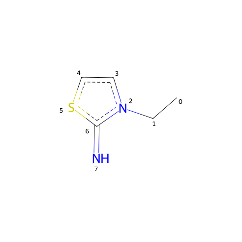 CCn1ccsc1=N